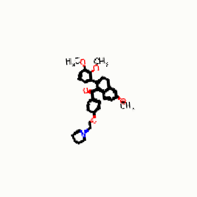 COc1ccc2c(C(=O)c3ccc(OCCN4CCCCC4)cc3)c(-c3cccc(OC)c3OC)ccc2c1